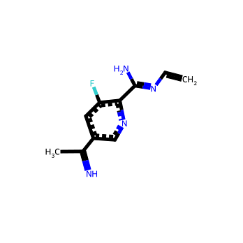 C=C/N=C(\N)c1ncc(C(C)=N)cc1F